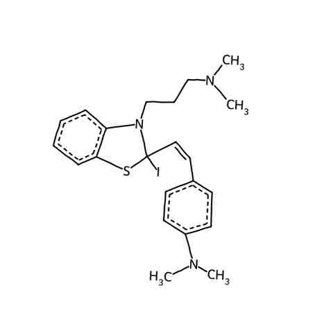 CN(C)CCCN1c2ccccc2SC1(I)C=Cc1ccc(N(C)C)cc1